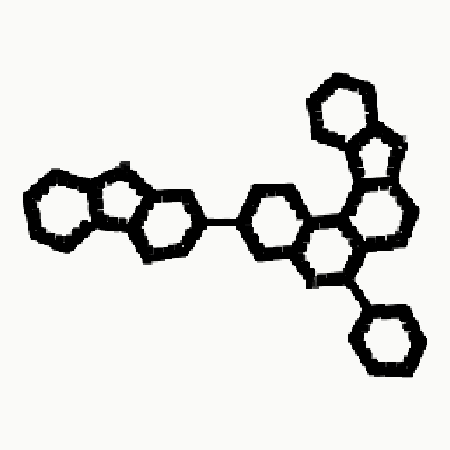 c1ccc(-c2nc3cc(-c4ccc5c(c4)sc4ccccc45)ccc3c3c2ccc2sc4ccccc4c23)cc1